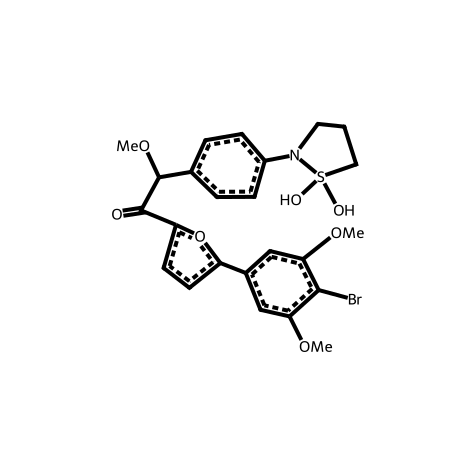 COc1cc(-c2ccc(C(=O)C(OC)c3ccc(N4CCCS4(O)O)cc3)o2)cc(OC)c1Br